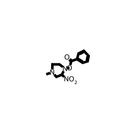 CN1CCN(OC(=O)c2ccccc2)C([N+](=O)[O-])C1